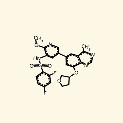 COc1ncc(-c2cc(O[C@H]3CCOC3)c3ncnc(C)c3c2)cc1NS(=O)(=O)c1ccc(F)cc1F